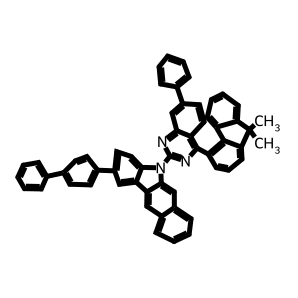 CC1(C)c2ccccc2-c2c(-c3nc(-n4c5ccc(-c6ccc(-c7ccccc7)cc6)cc5c5cc6ccccc6cc54)nc4cc(-c5ccccc5)ccc34)cccc21